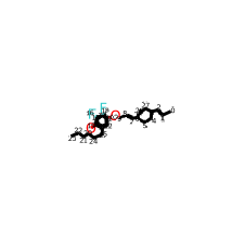 CCCC1CCC(/C=C/COc2cc3c(c(F)c2F)OC(CCC)CC3)CC1